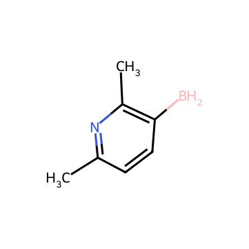 Bc1ccc(C)nc1C